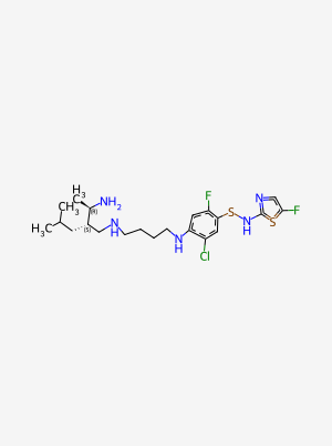 CC(C)C[C@@H](CNCCCCNc1cc(F)c(SNc2ncc(F)s2)cc1Cl)[C@@H](C)N